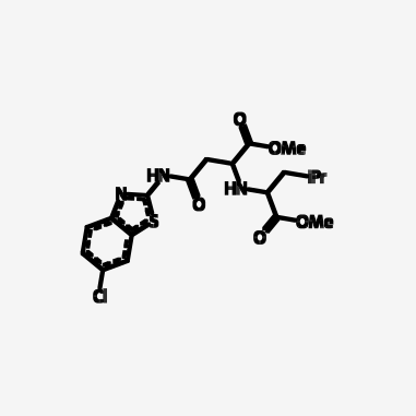 COC(=O)C(CC(=O)Nc1nc2ccc(Cl)cc2s1)NC(CC(C)C)C(=O)OC